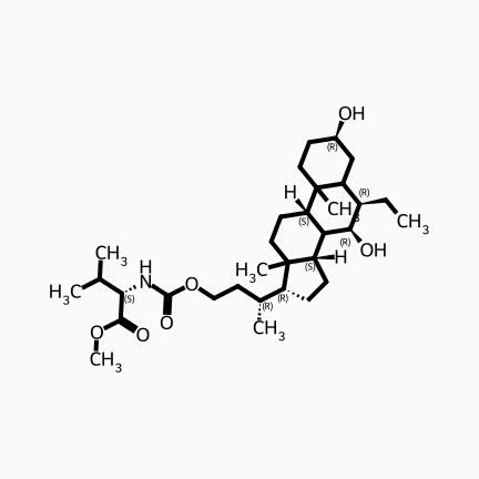 CC[C@@H]1C2C[C@H](O)CCC2(C)[C@H]2CCC3(C)[C@@H]([C@H](C)CCOC(=O)N[C@H](C(=O)OC)C(C)C)CC[C@H]3C2[C@@H]1O